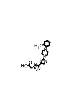 Cc1ccccc1N1CCN(c2ncc(-c3nnn(CC(=O)O)n3)s2)CC1